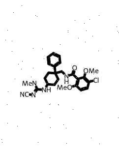 CN/C(=N\C#N)NC1CCC(CNC(=O)c2c(OC)ccc(Cl)c2OC)(c2ccccc2)CC1